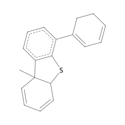 CC12C=CC=CC1Sc1c(C3=CC=CCC3)cccc12